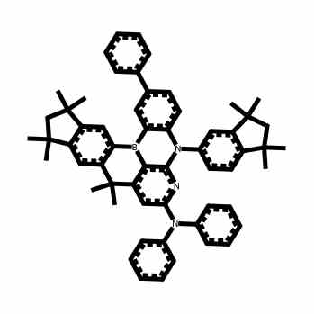 CC1(C)CC(C)(C)c2cc(N3c4ccc(-c5ccccc5)cc4B4c5cc6c(cc5C(C)(C)c5cc(N(c7ccccc7)c7ccccc7)nc3c54)C(C)(C)CC6(C)C)ccc21